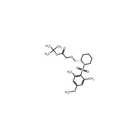 COc1cc(C)c(S(=O)(=O)N2CCCC[C@H]2COCC(=O)OC(C)(C)C)c(C)c1